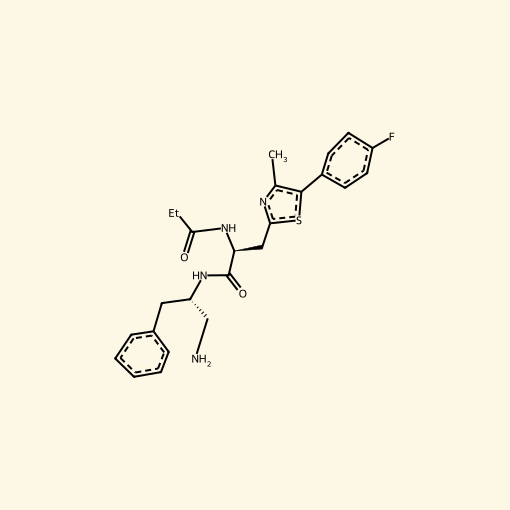 CCC(=O)N[C@@H](Cc1nc(C)c(-c2ccc(F)cc2)s1)C(=O)N[C@H](CN)Cc1ccccc1